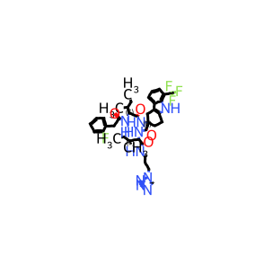 CCC(C)[C@H](NC(=O)Cc1ccccc1F)C(=O)N[C@]1(C(=O)NC(C(=O)NCCCn2cnnn2)[C@@H](C)CC)CCc2[nH]c3c(C(F)(F)F)cccc3c2C1